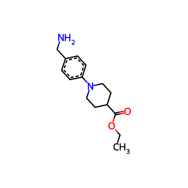 CCOC(=O)C1CCN(c2ccc(CN)cc2)CC1